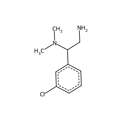 CN(C)C(CN)c1cccc(Cl)c1